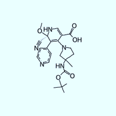 CO[C@@]1(C#N)NC=C(C(=O)O)C(N2CCC(C)(NC(=O)OC(C)(C)C)C2)=C1c1ccncc1